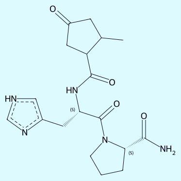 CC1CC(=O)CC1C(=O)N[C@@H](Cc1c[nH]cn1)C(=O)N1CCC[C@H]1C(N)=O